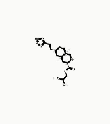 CC(C)COC(=O)[C@@H]1C[C@H]2C[C@@H](CCc3nn[nH]n3)CC[C@H]2CN1